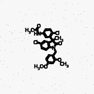 COc1ccc(CN2C(=O)C(C)(c3cc(NC(C)=O)ccc3Cl)c3cc(Cl)ccc32)c(OC)c1